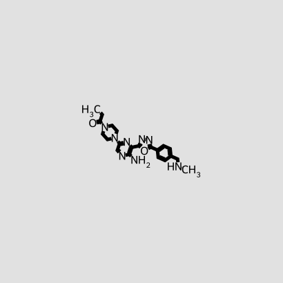 CCC(=O)N1CCN(c2cnc(N)c(-c3nnc(-c4ccc(CNC)cc4)o3)n2)CC1